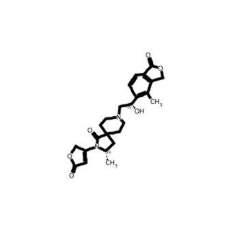 Cc1c([C@H](O)CN2CCC3(CC2)C[C@H](C)N(C2=CC(=O)OC2)C3=O)ccc2c1COC2=O